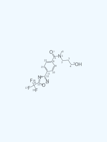 CN(CCCO)C(=O)c1ccc(-c2noc(C(F)(F)F)n2)cc1